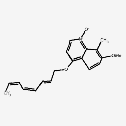 C\C=C/C=C\C=C\COc1cc[n+]([O-])c2c(C)c(OC)ccc12